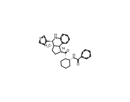 C[C@@]12CCN(C(=O)[C@H]3CCCC[C@H]3NC(=O)c3ccccc3)[C@@H]1c1ccccc1N[C@@H]2c1ccsc1